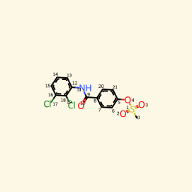 CS(=O)(=O)Oc1ccc(C(=O)Nc2cccc(Cl)c2Cl)cc1